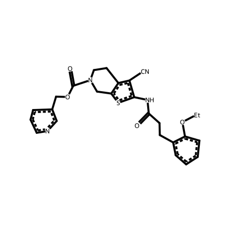 CCOc1ccccc1CCC(=O)Nc1sc2c(c1C#N)CCN(C(=O)OCc1cccnc1)C2